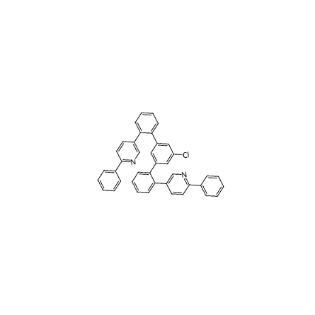 Clc1cc(-c2ccccc2-c2ccc(-c3ccccc3)nc2)cc(-c2ccccc2-c2ccc(-c3ccccc3)nc2)c1